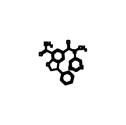 CN(C(=O)c1cc(C(N)=O)c2c(c1)C(c1ccccc1)CO2)c1cncnc1